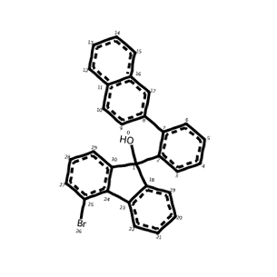 OC1(c2ccccc2-c2ccc3ccccc3c2)c2ccccc2-c2c(Br)cccc21